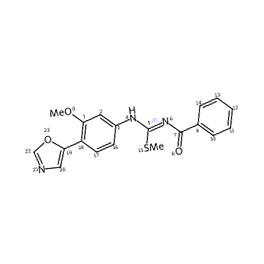 COc1cc(N/C(=N/C(=O)c2ccccc2)SC)ccc1-c1cnco1